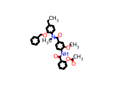 CCc1ccc(N(C)C(=O)c2ccc(NC(=O)c3ccccc3OC(C)=O)c(OC)c2)c(OCc2ccccc2)c1